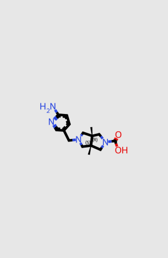 C[C@@]12CN(Cc3ccc(N)nc3)C[C@]1(C)CN(C(=O)O)C2